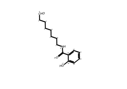 O=CCCCCCCCNC(=O)c1ccccc1O